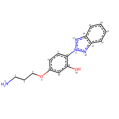 NCCCOc1ccc(-n2nc3ccccc3n2)c(O)c1